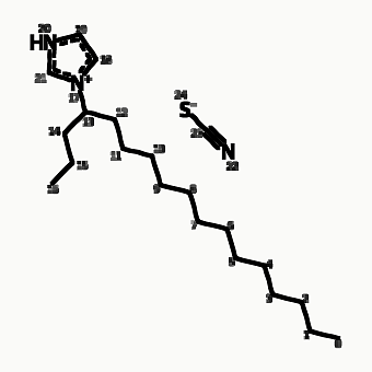 CCCCCCCCCCCCCC(CCC)[n+]1cc[nH]c1.N#C[S-]